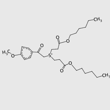 CCCCCCOC(=O)CC[S+](CCC(=O)OCCCCCC)CC(=O)c1ccc(OC)cc1